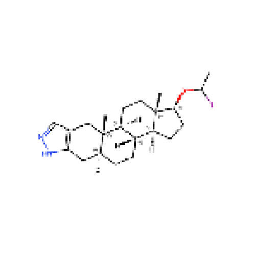 CC(I)O[C@H]1CC[C@H]2[C@@H]3CC[C@H]4Cc5[nH]ncc5C[C@]4(C)[C@H]3CC[C@]12C